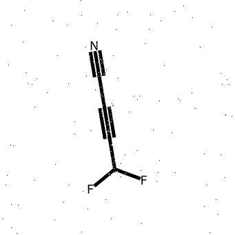 N#CC#C[C](F)F